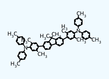 Cc1ccc(N(c2ccc(C)cc2)c2cc(C)c(-c3ccc4c(c3)C(C)(C)c3cc(-c5cc(C)c(N(c6ccc(C)cc6)c6ccc(C)cc6)cc5C)ccc3-4)cc2C)cc1